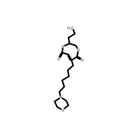 CCCC1COC(=O)/C(CCCCCCN2CCOCC2)=C/C(=O)O1